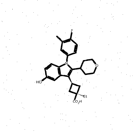 CC[C@]1(C(=O)O)C[C@@H](c2c(C3CCOCC3)n(-c3ccc(F)c(C)c3)c3ccc(O)cc32)C1